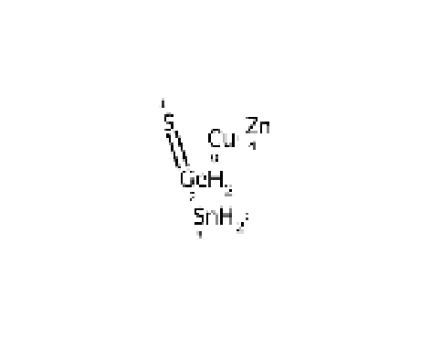 [Cu].[S]=[GeH2].[SnH2].[Zn]